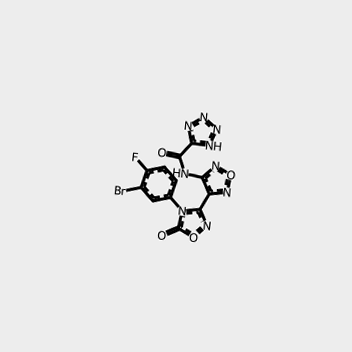 O=C(Nc1nonc1-c1noc(=O)n1-c1ccc(F)c(Br)c1)c1nnn[nH]1